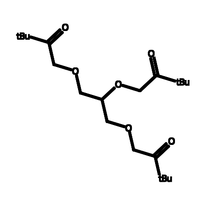 CC(C)(C)C(=O)COCC(COCC(=O)C(C)(C)C)OCC(=O)C(C)(C)C